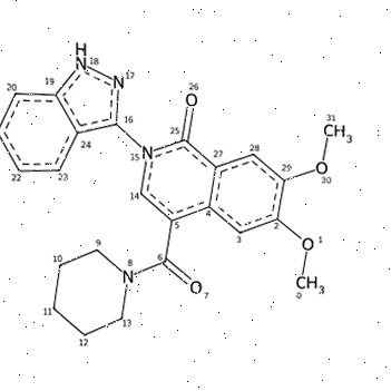 COc1cc2c(C(=O)N3CCCCC3)cn(-c3n[nH]c4ccccc34)c(=O)c2cc1OC